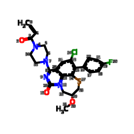 C=CC(=O)N1CCN(c2nc(=O)n3c4c(c(-c5ccc(F)cc5)c(Cl)cc24)SC[C@H](OC)C3)CC1